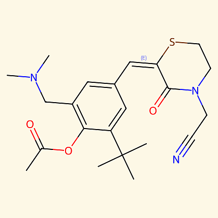 CC(=O)Oc1c(CN(C)C)cc(/C=C2/SCCN(CC#N)C2=O)cc1C(C)(C)C